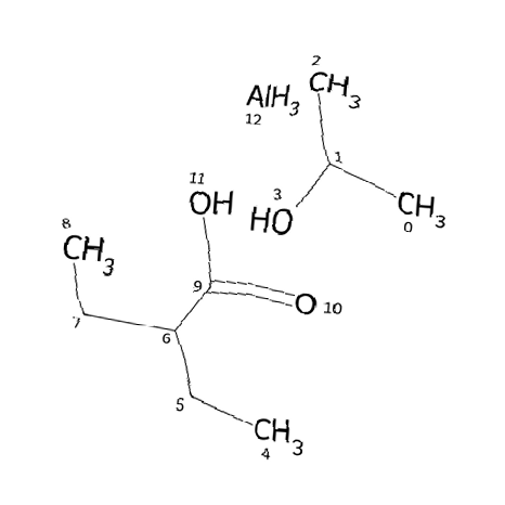 CC(C)O.CCC(CC)C(=O)O.[AlH3]